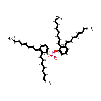 CCCCCCCCc1cccc(O[PH](=O)Oc2cccc(CCCCCCCC)c2CCCCCCCC)c1CCCCCCCC